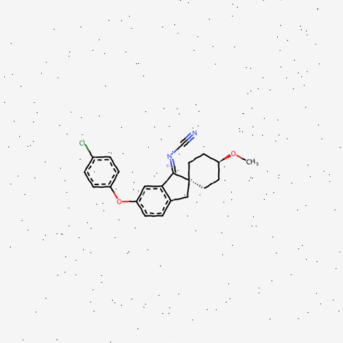 CO[C@H]1CC[C@]2(CC1)Cc1ccc(Oc3ccc(Cl)cc3)cc1/C2=N/C#N